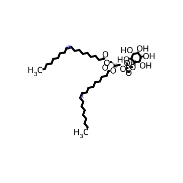 CCCCCCCC/C=C\CCCCCCCC(=O)OC[C@H](COP(=O)(O)OC1C(O)C(O)C(O)[C@@H](O)C1O)OC(=O)CCCCCCC/C=C\CCCCCCCC